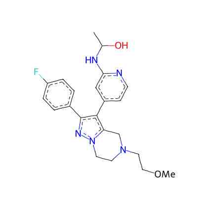 COCCN1CCn2nc(-c3ccc(F)cc3)c(-c3ccnc(NC(C)O)c3)c2C1